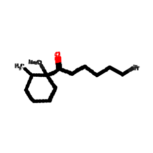 COC1(C(=O)CCCCCC(C)C)CCCCC1C